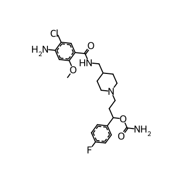 COc1cc(N)c(Cl)cc1C(=O)NCC1CCN(CCC(OC(N)=O)c2ccc(F)cc2)CC1